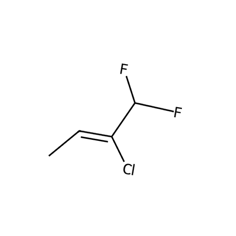 CC=C(Cl)C(F)F